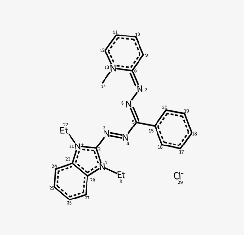 CCn1c(N=NC(=NN=c2ccccn2C)c2ccccc2)[n+](CC)c2ccccc21.[Cl-]